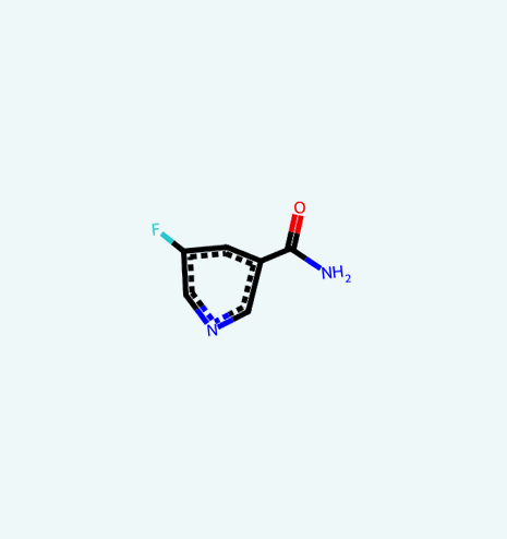 NC(=O)c1cncc(F)c1